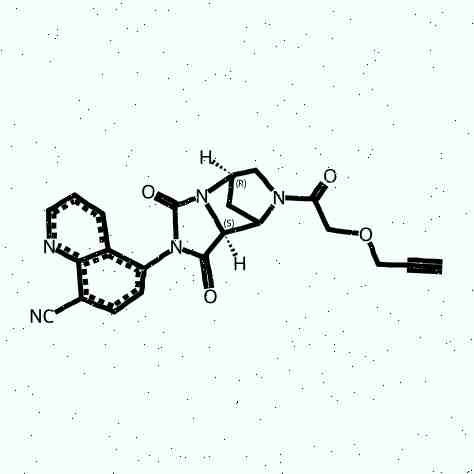 C#CCOCC(=O)N1C[C@H]2CC1[C@H]1C(=O)N(c3ccc(C#N)c4ncccc34)C(=O)N21